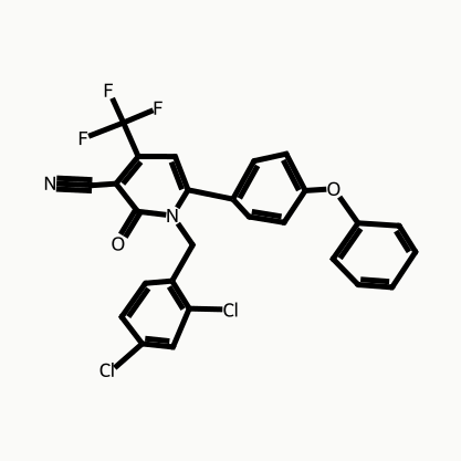 N#Cc1c(C(F)(F)F)cc(-c2ccc(Oc3ccccc3)cc2)n(Cc2ccc(Cl)cc2Cl)c1=O